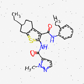 CCC1CCc2c(sc(NC(=O)c3ccnn3C)c2C(=O)Nc2ccccc2C)C1